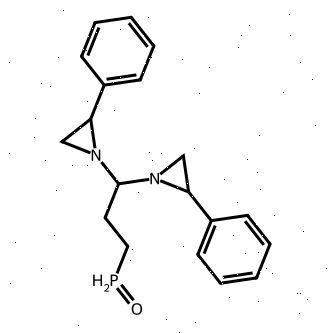 O=[PH2]CCC(N1CC1c1ccccc1)N1CC1c1ccccc1